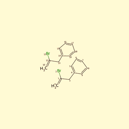 C=C(Br)Cc1ccccc1.C=C(Br)Cc1ccccc1